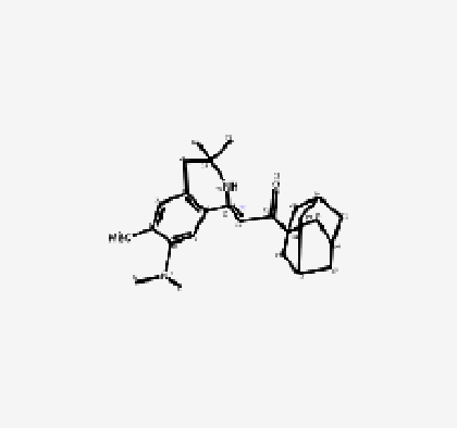 COc1cc2c(cc1N(C)C)/C(=C/C(=O)C13CC4CC(CC(C4)C1)C3)NC(C)(C)C2